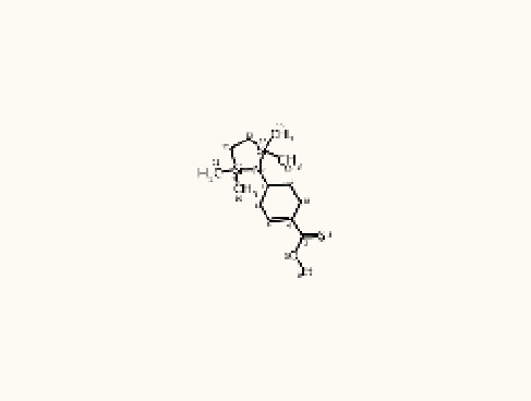 CCOC(=S)C1=CCC(N2[Si](C)(C)CC[Si]2(C)C)CC1